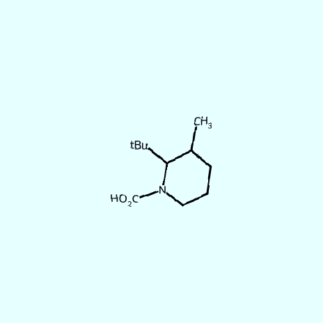 CC1CCCN(C(=O)O)C1C(C)(C)C